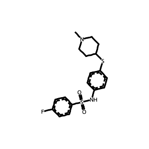 CN1CCC(Sc2ccc(NS(=O)(=O)c3ccc(F)cc3)cc2)CC1